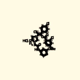 COc1cccc(NC(=O)CN2C=CN(C(Cl)C(OC(=O)c3ccc(Cl)cc3Cl)c3ccc(Cl)cc3)C2)c1.Cl.O